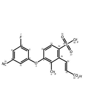 Cc1c(Oc2cc(F)cc(C#N)c2)ccc(S(=O)(=O)C(F)(F)F)c1C=CC(=O)O